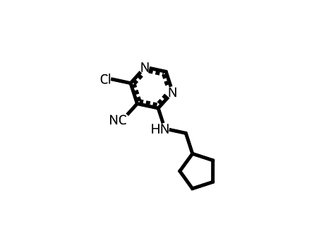 N#Cc1c(Cl)ncnc1NCC1CCCC1